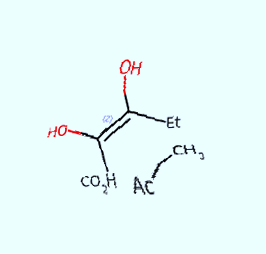 CC(C)=O.CC/C(O)=C(/O)C(=O)O